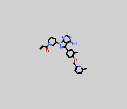 C=CC(=O)N1CCCC(n2nc(-c3ccc(OCc4cccc(C)n4)c(C)c3)c3c(N)ncnc32)C1